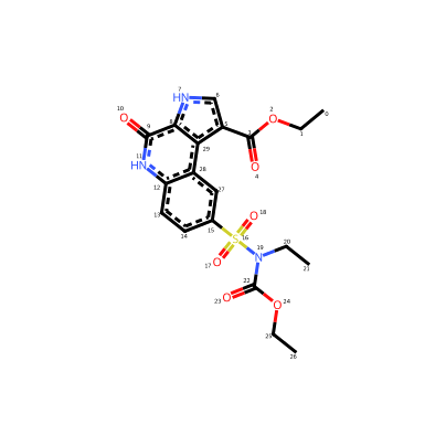 CCOC(=O)c1c[nH]c2c(=O)[nH]c3ccc(S(=O)(=O)N(CC)C(=O)OCC)cc3c12